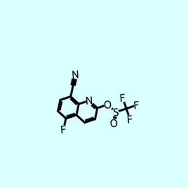 N#Cc1ccc(F)c2ccc(OS(=O)C(F)(F)F)nc12